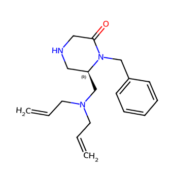 C=CCN(CC=C)C[C@H]1CNCC(=O)N1Cc1ccccc1